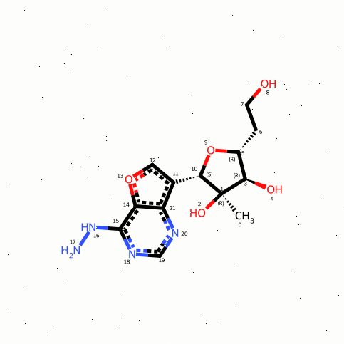 C[C@@]1(O)[C@H](O)[C@@H](CCO)O[C@H]1c1coc2c(NN)ncnc12